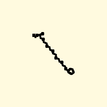 NC(=O)COCCOCCOCCOCCOCCOc1ccccc1